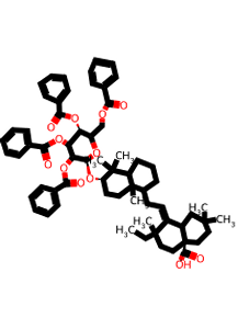 CCC1(C)CC[C@@]2(C(=O)O)CCC(C)(C)CC2/C1=C/CC1CCCC2C1(C)CC[C@H](O[C@@H]1OC(COC(=O)c3ccccc3)[C@@H](OC(=O)c3ccccc3)C(OC(=O)c3ccccc3)C1OC(=O)c1ccccc1)C2(C)C